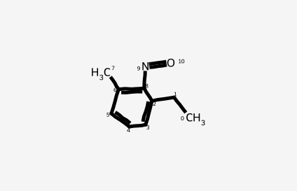 CCc1cccc(C)c1N=O